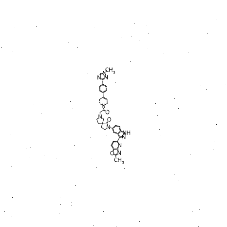 Cc1nc2nc(-c3n[nH]c4ccc(N5CCC6(CCN(CC(=O)N7CC=C(c8ccc(-c9ncn(C)n9)cc8)CC7)C6)C5=O)cc34)ccc2o1